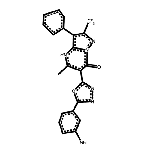 Cc1[nH]c2c(-c3ccccc3)c(C(F)(F)F)nn2c(=O)c1-c1nnc(-c2cccc(N)c2)o1